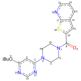 CC(C)COc1cc(N2CCN(C(=O)c3cc4cccnc4s3)CC2)ncn1